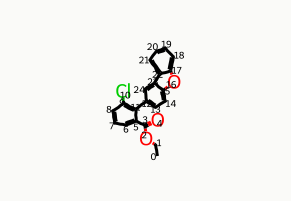 CCOC(=O)c1cccc(Cl)c1-c1ccc2oc3ccccc3c2c1